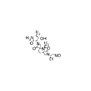 CC[C@@H](CN=O)N1CC2(CCC3(CN([C@H](C(N)=O)[C@@H](C)O)C3=O)N2C)C1=O